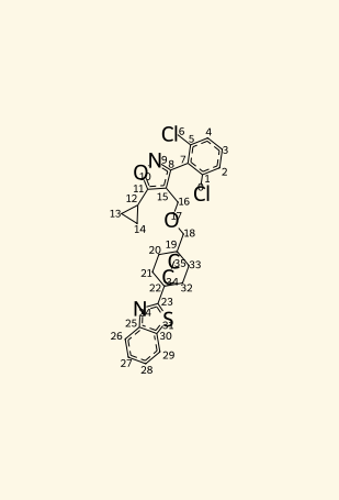 Clc1cccc(Cl)c1-c1noc(C2CC2)c1COCC12CCC(c3nc4ccccc4s3)(CC1)CC2